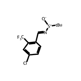 CC(C)(C)[S+]([O-])/N=C/c1ccc(Cl)cc1C(F)(F)F